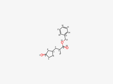 CC(CC1CCC(=O)C1)C(=O)OCc1ccccc1